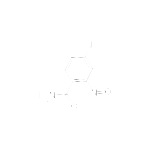 NC(=O)c1ccc(I)cc1N=O